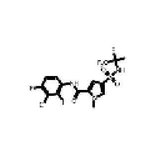 Cn1cc(S(=O)(=O)NC(C)(F)C(F)(F)F)cc1C(=O)Nc1ccc(F)c(Cl)c1F